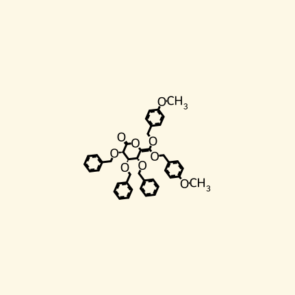 COc1ccc(COC(OCc2ccc(OC)cc2)=C2OC(=O)[C@H](OCc3ccccc3)[C@@H](OCc3ccccc3)[C@@H]2OCc2ccccc2)cc1